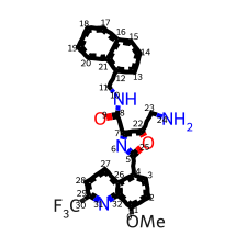 COc1ccc(-c2nc(C(=O)NCc3cccc4ccccc34)c(CN)o2)c2ccc(C(F)(F)F)nc12